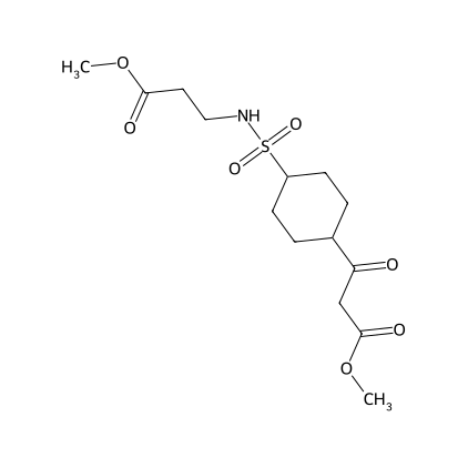 COC(=O)CCNS(=O)(=O)C1CCC(C(=O)CC(=O)OC)CC1